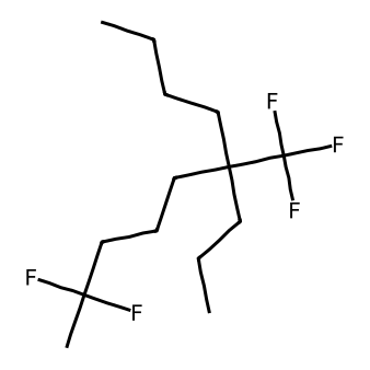 CCCCC(CCC)(CCCC(C)(F)F)C(F)(F)F